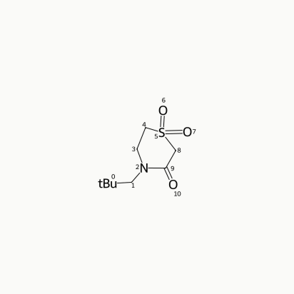 CC(C)(C)CN1CCS(=O)(=O)CC1=O